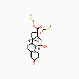 CSCOC(=O)C1(OCSC)CC[C@H]2[C@@H]3CCC4=CC(=O)CC[C@]4(C)[C@@H]3C(O)C[C@@]21C